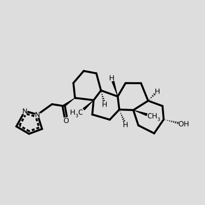 C[C@]12CC[C@@H](O)C[C@@H]1CC[C@@H]1[C@@H]2CC[C@]2(C)[C@@H](C(=O)Cn3cccn3)CCC[C@@H]12